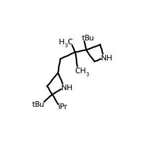 CC(C)C1(C(C)(C)C)CC(CC(C)(C)C2(C(C)(C)C)CNC2)N1